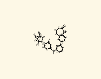 Cc1cc(Nc2nccc(-c3ccc4c(c3)CCCC(=O)N4)n2)ccc1N1C[C@@H]2C[C@H]1CN2C